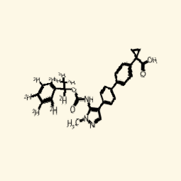 [2H]c1c([2H])c([2H])c(C([2H])(OC(=O)Nc2c(-c3ccc(-c4ccc(C5(C(=O)O)CC5)cc4)cc3)cnn2C)C([2H])([2H])[2H])c([2H])c1[2H]